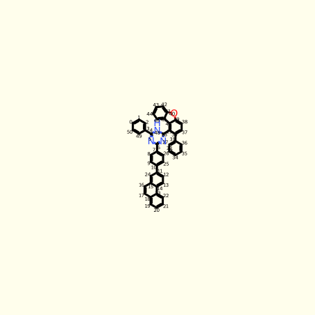 c1ccc(C2=NC(c3ccc(-c4ccc5c(ccc6ccccc65)c4)cc3)=NC(c3c(-c4ccccc4)ccc4oc5ccccc5c34)N2)cc1